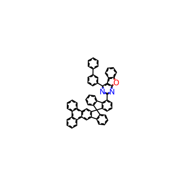 c1ccc(-c2cccc(-c3nc(-c4cccc5c4-c4ccccc4C54c5ccccc5-c5cc6c7ccccc7c7ccccc7c6cc54)nc4oc5ccccc5c34)c2)cc1